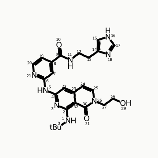 CC(C)(C)Nc1nc(Nc2cc(C(=O)NCCc3c[nH]cn3)ccn2)cc2ccn(CCO)c(=O)c12